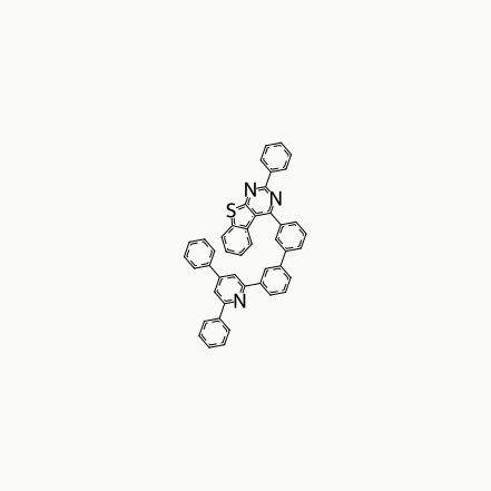 c1ccc(-c2cc(-c3ccccc3)nc(-c3cccc(-c4cccc(-c5nc(-c6ccccc6)nc6sc7ccccc7c56)c4)c3)c2)cc1